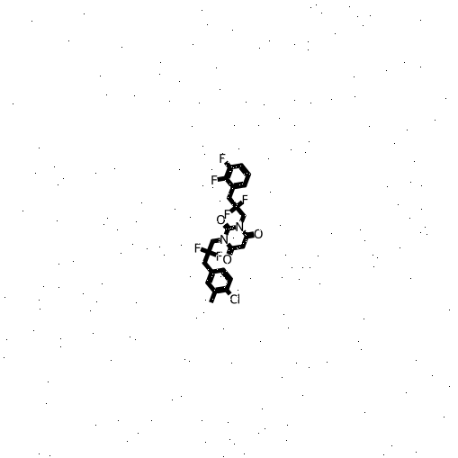 Cc1cc(CC(F)(F)CN2C(=O)CC(=O)N(CC(F)(F)Cc3cccc(F)c3F)C2=O)ccc1Cl